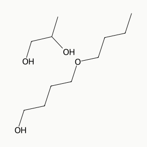 CC(O)CO.CCCCOCCCCO